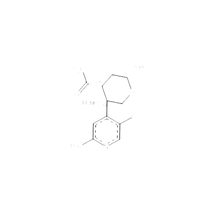 CC(=O)[C@@H]1C[C@H](C)OC[C@@]1(N)c1cc(C)ncc1F